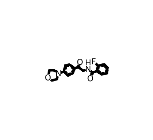 O=C(CNC(=O)c1ccccc1F)c1ccc(N2CCOCC2)cc1